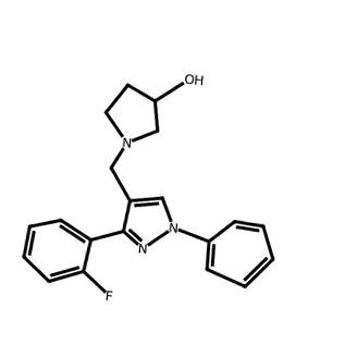 OC1CCN(Cc2cn(-c3ccccc3)nc2-c2ccccc2F)C1